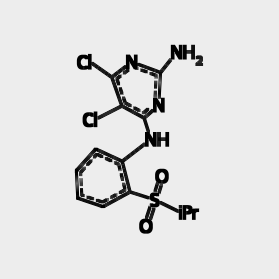 CC(C)S(=O)(=O)c1ccccc1Nc1nc(N)nc(Cl)c1Cl